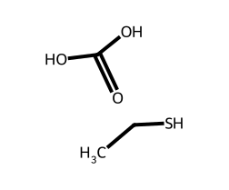 CCS.O=C(O)O